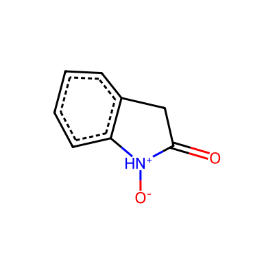 O=C1Cc2ccccc2[NH+]1[O-]